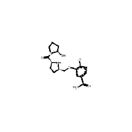 CC(C)c1ccc(C(N)=O)cc1OC[C@H]1CC[C@@H](C(=O)N2CCC[C@H]2C#N)N1